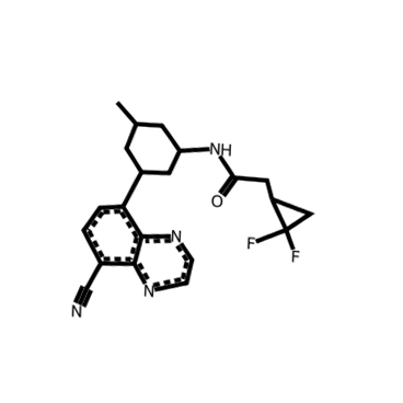 CC1CC(NC(=O)CC2CC2(F)F)CC(c2ccc(C#N)c3nccnc23)C1